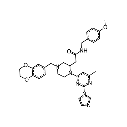 COc1ccc(CNC(=O)CC2CN(Cc3ccc4c(c3)OCCO4)CCN2c2cc(C)nc(-n3ccnc3)n2)cc1